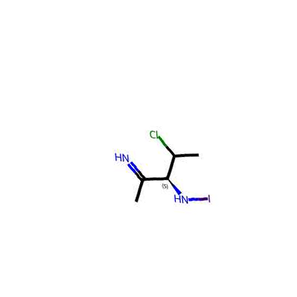 CC(=N)[C@H](NI)C(C)Cl